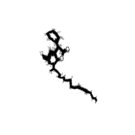 CCCCCCCCCCCCC(C)c1cc(C)cc2c1OC(=O)C2c1ccccc1